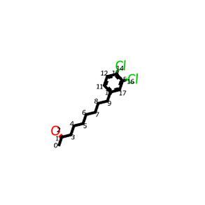 CC(=O)CCCCCCCc1ccc(Cl)c(Cl)c1